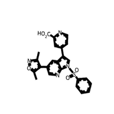 Cc1noc(C)c1-c1cnc2c(c1)c(-c1ccnc(C(=O)O)c1)cn2S(=O)(=O)c1ccccc1